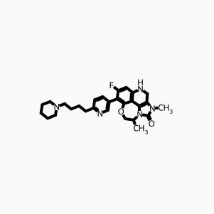 CC1COc2c(-c3ccc(CCCCN4CCCCC4)nc3)c(F)cc3c2-c2c(n(C)c(=O)n21)CN3